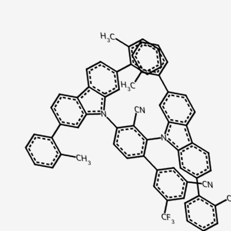 Cc1ccccc1-c1ccc2c3ccc(-c4ccccc4C)cc3n(-c3ccc(-c4cc(C#N)cc(C(F)(F)F)c4)c(-n4c5cc(-c6ccccc6C)ccc5c5ccc(-c6ccccc6C)cc54)c3C#N)c2c1